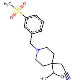 CC(C)C1(CC#N)CCN(Cc2cccc(S(C)(=O)=O)c2)CC1